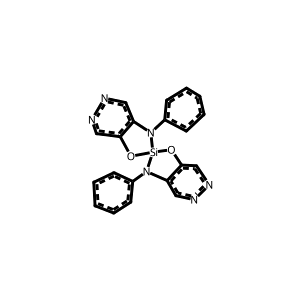 c1ccc(N2c3cnncc3O[Si]23Oc2cnncc2N3c2ccccc2)cc1